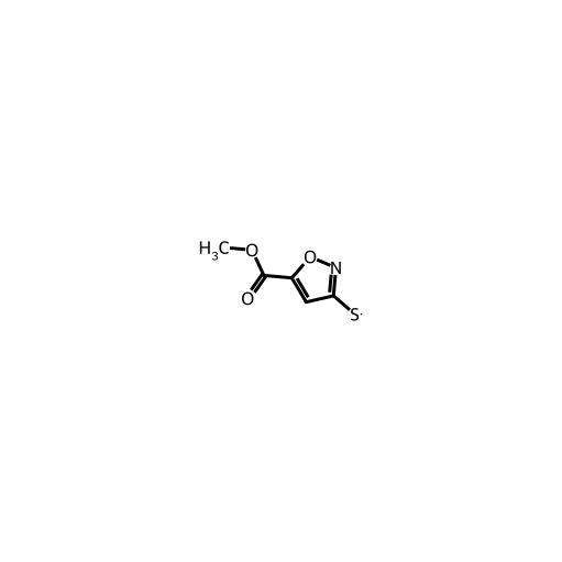 COC(=O)c1cc([S])no1